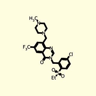 CCS(=O)(=O)c1ccc(Cl)cc1Cn1cnc2c(CN3CCN(C)CC3)cc(C(F)(F)F)cc2c1=O